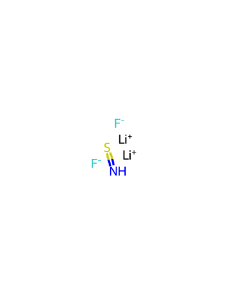 N=S.[F-].[F-].[Li+].[Li+]